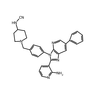 N#CNC1CCN(Cc2ccc(-n3c(-c4cccnc4N)nc4cc(-c5ccccc5)cnc43)cc2)CC1